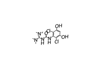 CN(C)C(NC(=O)Nc1c(Cl)c(O)cc(O)c1Cl)=[N+](C)C